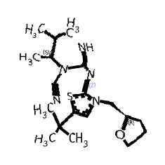 CC(C)[C@H](C)N(C#N)C(=N)/N=c1\sc(C(C)(C)C)cn1C[C@H]1CCCO1